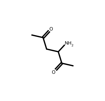 CC(=O)CC(N)C(C)=O